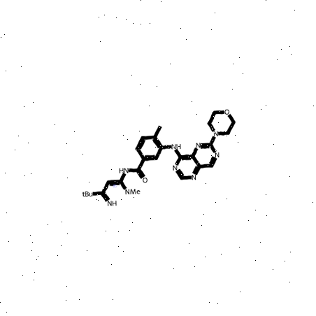 CN/C(=C\C(=N)C(C)(C)C)NC(=O)c1ccc(C)c(Nc2ncnc3cnc(N4CCOCC4)nc23)c1